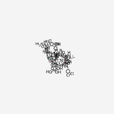 CN[C@H](CC(C)C)C(=O)N[C@H]1C(=O)N[C@@H](CC(N)=O)C(=O)N[C@H]2C(=O)N[C@H]3C(=O)N[C@H](C(=O)N[C@@H](C(=O)NNC(N)=O)c4cc(O)cc(O)c4-c4cc3ccc4O)[C@H](O)c3ccc(c(Cl)c3)Oc3cc2cc(c3O[C@@H]2O[C@H](CO)[C@@H](O)[C@H](O)[C@H]2O[C@H]2C[C@](C)(NCCN3CCN(C(=O)NCc4ccc(Cl)c(Cl)c4)CC3)[C@H](O)[C@H](C)O2)Oc2ccc(cc2Cl)[C@H]1O